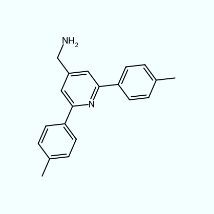 Cc1ccc(-c2cc(CN)cc(-c3ccc(C)cc3)n2)cc1